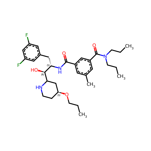 CCCO[C@H]1CCNC([C@@H](O)[C@H](Cc2cc(F)cc(F)c2)NC(=O)c2cc(C)cc(C(=O)N(CCC)CCC)c2)C1